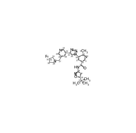 Cc1ncc(C(=O)Nc2cc(C(C)(C)C)on2)cc1-n1cc(-c2cncc(CN3CC[C@H](F)C3)c2)nn1